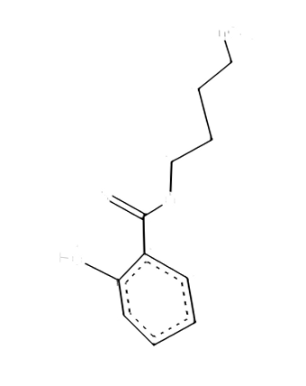 CCCCCCCCCCCCOC(=S)c1ccccc1O